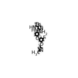 Cc1ncc(COc2cc(F)cc(Oc3ccc(Nc4c(N)ncnc4C(=N)C(C)C)cc3)c2)s1